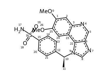 COc1cc2ncc3ncn([C@@H](C)c4ccc(S(N)(=O)=O)cc4)c3c2cc1OC